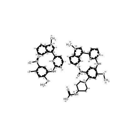 COc1cc(F)c([N+](=O)[O-])cc1Nc1nccc(-c2cn(C)c3ccccc23)n1.COc1cc(N2CCC(NC(=O)O)CC2)c([N+](=O)[O-])cc1Nc1nccc(-c2cn(C)c3ccccc23)n1